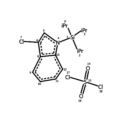 CC(C)[Si](C(C)C)(C(C)C)n1cc(Cl)c2ccccc21.O=S(=O)(Cl)Cl